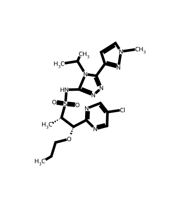 CCCO[C@@H](c1ncc(Cl)cn1)[C@H](C)S(=O)(=O)Nc1nnc(-c2ccn(C)n2)n1C(C)C